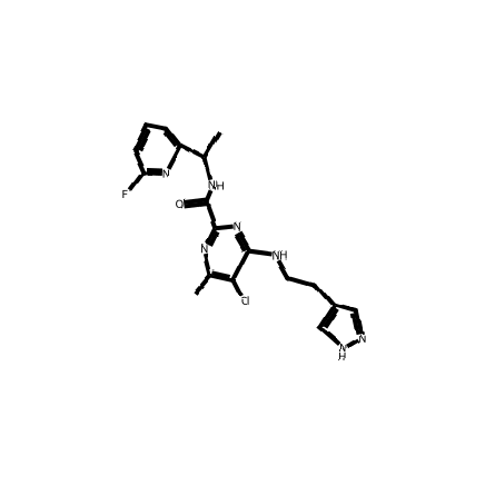 Cc1nc(C(=O)NC(C)c2cccc(F)n2)nc(NCCc2cn[nH]c2)c1Cl